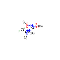 CC(C)(C)OC(=O)N1CC(CNC(=O)OCC[Si](C)(C)C)C(CN[C@@H](c2nc(-c3cc(F)ccc3F)cn2Cc2ccccc2)C(C)(C)C)C1